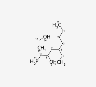 CCCCC(CC)CC(O)CP.CCO